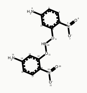 Nc1ccc([N+](=O)[O-])c(OBOc2cc(N)ccc2[N+](=O)[O-])c1